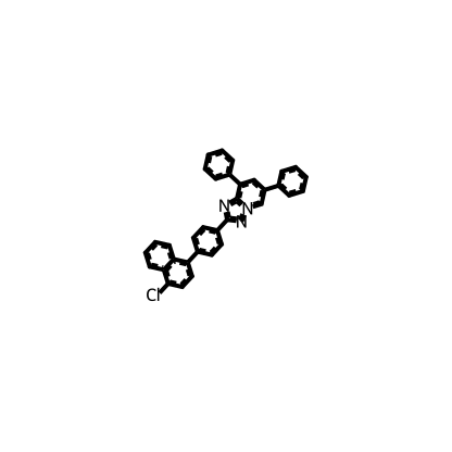 Clc1ccc(-c2ccc(-c3nc4c(-c5ccccc5)cc(-c5ccccc5)cn4n3)cc2)c2ccccc12